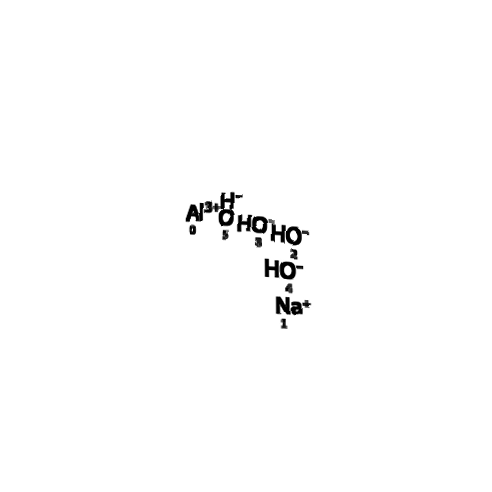 [Al+3].[Na+].[OH-].[OH-].[OH-].[OH-]